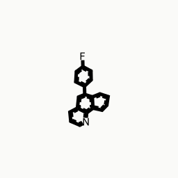 Fc1ccc(-c2cc3cccnc3c3ccccc23)cc1